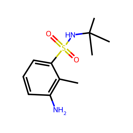 Cc1c(N)cccc1S(=O)(=O)NC(C)(C)C